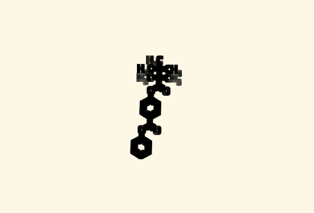 CC(C)(C)C(C)(C)C(=O)Oc1ccc(C(=O)Oc2ccccc2)cc1